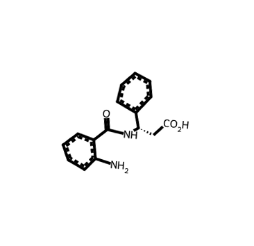 Nc1ccccc1C(=O)N[C@@H](CC(=O)O)c1ccccc1